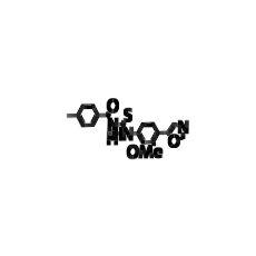 COc1cc(NC(=S)NC(=O)c2ccc(C)cc2)ccc1-c1cnco1